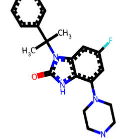 CC(C)(c1ccccc1)n1c(=O)[nH]c2c(N3CCNCC3)cc(F)cc21